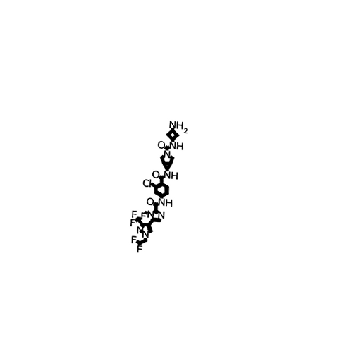 Cn1c(-c2cn(CC(F)F)nc2C(F)(F)F)cnc1C(=O)Nc1ccc(C(=O)NC2C3CN(C(=O)NC4CC(N)C4)CC32)c(Cl)c1